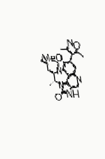 C=C/C=C(\N=C/C)[C@@H](C)n1c(=O)[nH]c2cnc3cc(-c4c(C)noc4C)c(OC)cc3c21